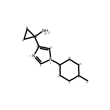 CC1CCC(n2cnc(C3(N)CC3)c2)CC1